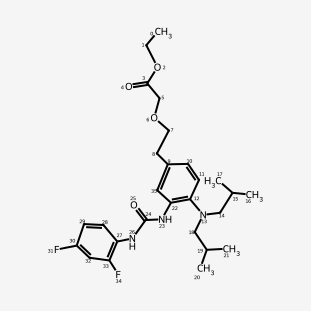 CCOC(=O)COCCc1ccc(N(CC(C)C)CC(C)C)c(NC(=O)Nc2ccc(F)cc2F)c1